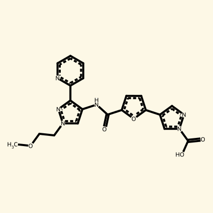 COCCn1cc(NC(=O)c2ccc(-c3cnn(C(=O)O)c3)o2)c(-c2ccccn2)n1